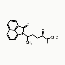 CC(CCC(=O)NC=O)N1C(=O)c2cccc3cccc1c23